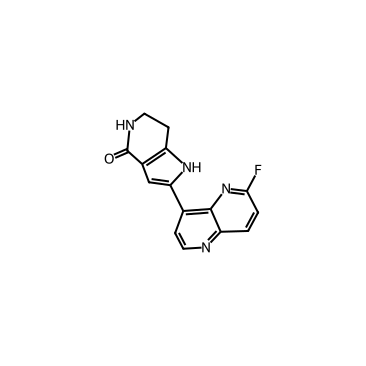 O=C1NCCc2[nH]c(-c3ccnc4ccc(F)nc34)cc21